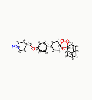 c1cc([C@H]2CC[C@]3(CC2)OO[C@]2(O3)C3CC4CC(C3)CC2C4)ccc1OCC1CCNCC1